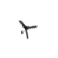 CCCCCCCCCC[N+](CC)(CCCCCCCCCC)CCOCCCCCC.[F-]